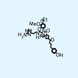 CCOc1ccc(N(C(=O)[C@@H]2CC(C(=O)CCCc3ccc(O)cc3)CN2)[C@@H](C)C(=O)NCCCNC(=N)N)cc1OC